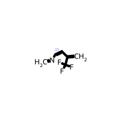 C=N/C=C\C(=C)C(F)(F)F